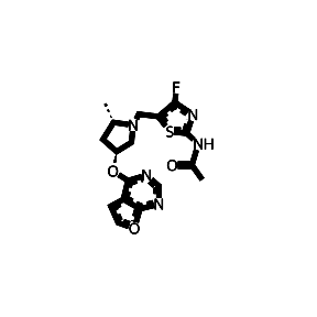 CC(=O)Nc1nc(F)c(CN2C[C@H](Oc3ncnc4occc34)C[C@@H]2C)s1